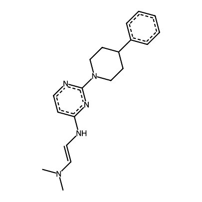 CN(C)/C=C/Nc1ccnc(N2CCC(c3ccccc3)CC2)n1